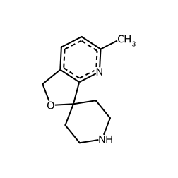 Cc1ccc2c(n1)C1(CCNCC1)OC2